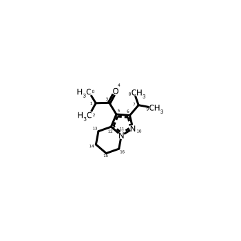 CC(C)C(=O)c1c(C(C)C)nn2c1CCCC2